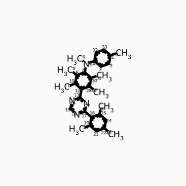 Cc1ccc(N(C)c2c(C)c(C)c(-c3ncnc(-c4c(C)cc(C)cc4C)n3)c(C)c2C)cc1